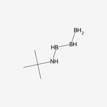 BBBNC(C)(C)C